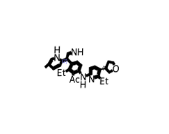 CCc1nc(Nc2ccc(/C(C=N)=C3\C=CC(C)=CN3)c(CC)c2C(C)=O)ccc1[C@H]1CCOC1